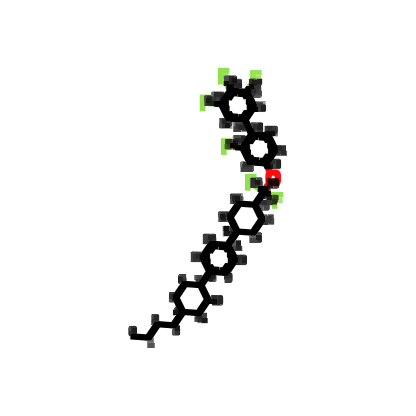 CCCCC1CCC(c2ccc(C3CCC(C(F)(F)Oc4ccc(-c5cc(F)c(F)c(F)c5)c(F)c4)CC3)cc2)CC1